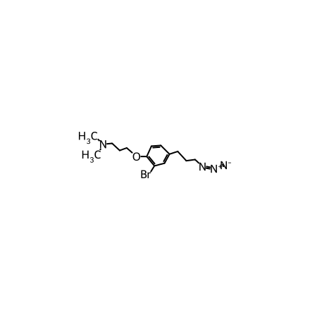 CN(C)CCCOc1ccc(CCCN=[N+]=[N-])cc1Br